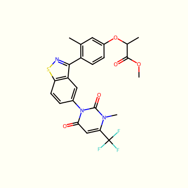 COC(=O)C(C)Oc1ccc(-c2nsc3ccc(-n4c(=O)cc(C(F)(F)F)n(C)c4=O)cc23)c(C)c1